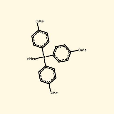 CCCCCC[B-](c1ccc(OC)cc1)(c1ccc(OC)cc1)c1ccc(OC)cc1